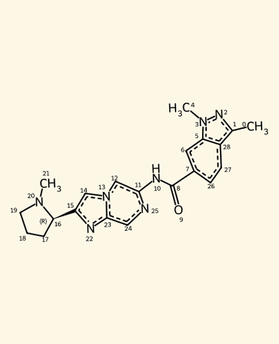 Cc1nn(C)c2cc(C(=O)Nc3cn4cc([C@H]5CCCN5C)nc4cn3)ccc12